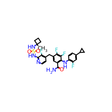 CC1(NS(=O)(=O)Nc2nccc(Cc3cc(C(N)=O)c(Nc4ccc(C5CC5)cc4F)c(F)c3F)c2F)CCC1